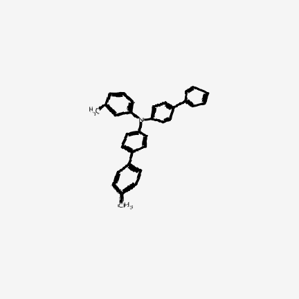 Cc1ccc(-c2ccc(N(c3ccc(-c4ccccc4)cc3)c3cccc(C)c3)cc2)cc1